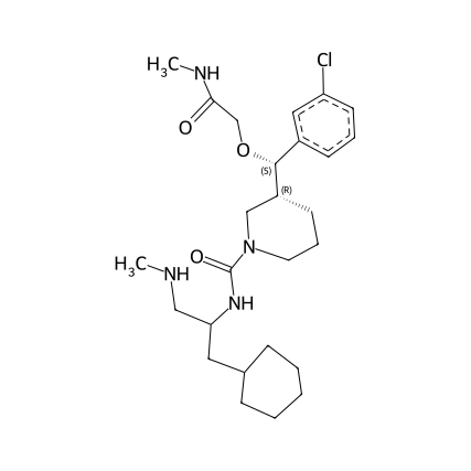 CNCC(CC1CCCCC1)NC(=O)N1CCC[C@@H]([C@H](OCC(=O)NC)c2cccc(Cl)c2)C1